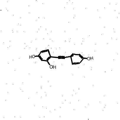 Oc1ccc(C#Cc2ccc(O)cc2O)cc1